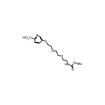 CC(C)(C)OC(=O)NCCOCCOCCOc1ccc(C(=O)O)nc1